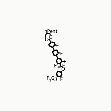 CCCCCC1COC(c2ccc(-c3ccc(-c4cc(F)c(C(F)(F)Oc5ccc(OC(F)(F)F)c(F)c5)c(F)c4)c(F)c3)c(F)c2)OC1